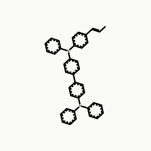 CC=Cc1ccc(N(c2ccccc2)c2ccc(-c3ccc(N(c4ccccc4)c4ccccc4)cc3)cc2)cc1